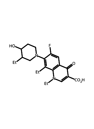 CCc1c(N2CCC(O)C(CC)C2)c(F)cc2c(=O)c(C(=O)O)cn(CC)c12